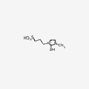 Cn1cc[n+](CCCS(=O)(=O)O)c1S